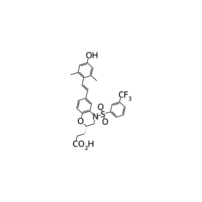 Cc1cc(O)cc(C)c1/C=C/c1ccc2c(c1)N(S(=O)(=O)c1cccc(C(F)(F)F)c1)C[C@H](CCC(=O)O)O2